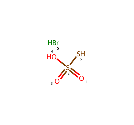 Br.O=S(=O)(O)S